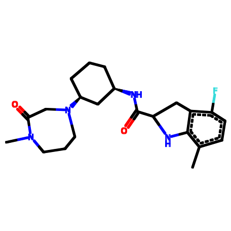 Cc1ccc(F)c2c1NC(C(=O)N[C@@H]1CCC[C@H](N3CCCN(C)C(=O)C3)C1)C2